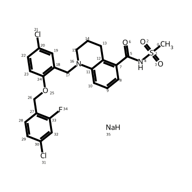 CS(=O)(=O)NC(=O)c1cccc2c1CCCN2Cc1cc(Cl)ccc1OCc1ccc(Cl)cc1F.[NaH]